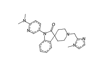 CN(C)c1ccc(N2C(=O)C3(CCN(Cc4nccn4C)CC3)c3ccccc32)cn1